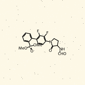 COP(=O)(OC)c1ccccc1-c1ccc(N2CCC(NC=O)C2=O)c(F)c1F